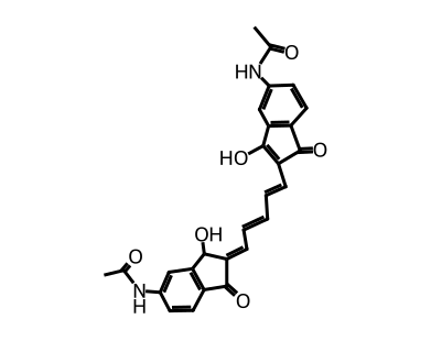 CC(=O)Nc1ccc2c(c1)C(O)=C(/C=C/C=C/C=C1/C(=O)c3ccc(NC(C)=O)cc3C1O)C2=O